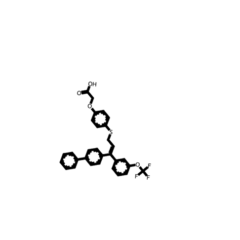 O=C(O)COc1ccc(SC/C=C(\c2ccc(-c3ccccc3)cc2)c2cccc(OC(F)(F)F)c2)cc1